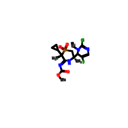 CN1C(Cl)=NC=C(F)C1[C@]1(C)CS(=O)(=O)[C@@](C)(C2CC2)/C(=N/C(=O)OC(C)(C)C)N1